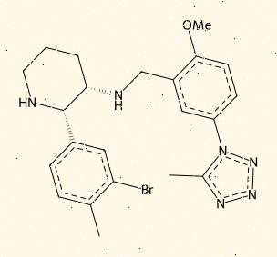 COc1ccc(-n2nnnc2C)cc1CN[C@H]1CCCN[C@H]1c1ccc(C)c(Br)c1